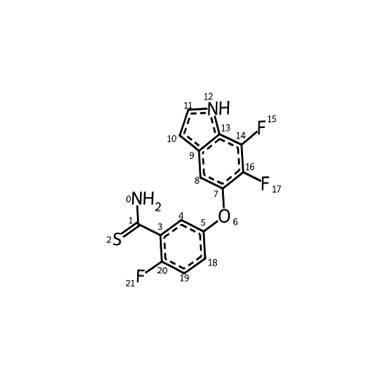 NC(=S)c1cc(Oc2cc3cc[nH]c3c(F)c2F)ccc1F